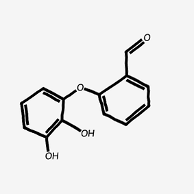 O=Cc1ccccc1Oc1cccc(O)c1O